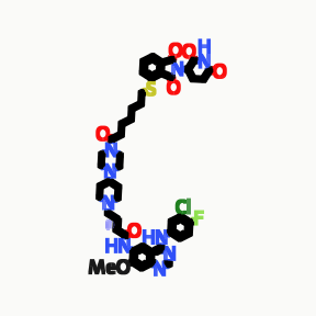 COc1cc2ncnc(Nc3ccc(F)c(Cl)c3)c2cc1NC(=O)/C=C/CN1CCC(N2CCN(C(=O)CCCCCCSc3cccc4c3C(=O)N(C3CCC(=O)NC3=O)C4=O)CC2)CC1